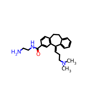 CN(C)CC/C=C1\c2ccccc2CCc2ccc(C(=O)NCCN)cc21